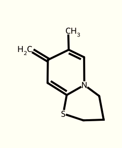 C=C1C=C2SCCCN2C=C1C